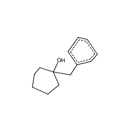 OC1([CH]c2ccccc2)CCCCC1